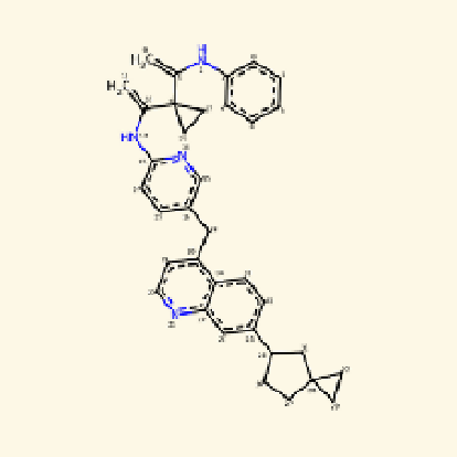 C=C(Nc1ccccc1)C1(C(=C)Nc2ccc(Cc3ccnc4cc(C5CCC6(CC6)C5)ccc34)cn2)CC1